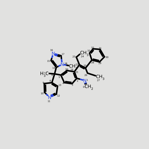 C=Nc1ccc(C(C)(c2ccncc2)c2cncn2C)cc1/C(CC)=C(\CC)c1ccccc1